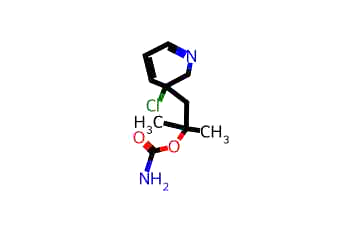 CC(C)(CC1(Cl)C=CC=NC1)OC(N)=O